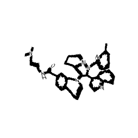 Cc1cccc(N2C(c3ccnc4ccccc34)C(N3C=CCc4ccc(C(=O)NCCN(C)C)cc43)=C3CCCN32)n1